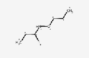 CCCONC(I)CC